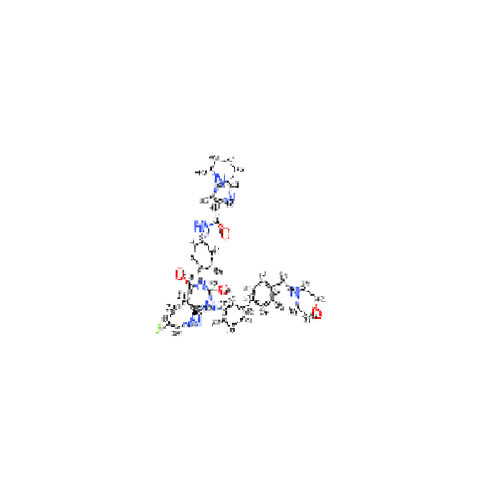 O=C(N[C@H]1CC[C@@H](n2c(=O)c3cc(F)cnc3n(-c3cccc(-c4ccc(CN5CCOCC5)cc4)c3)c2=O)CC1)c1cn2c(n1)CCCC2